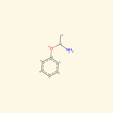 CC(N)Oc1cc[c]cc1